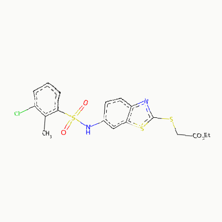 CCOC(=O)CSc1nc2ccc(NS(=O)(=O)c3cccc(Cl)c3C)cc2s1